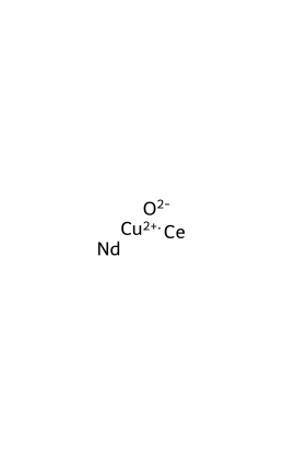 [Ce].[Cu+2].[Nd].[O-2]